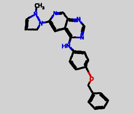 CN1C=CCN1c1cc2c(Nc3ccc(OCc4ccccc4)cc3)ncnc2cn1